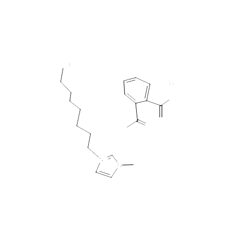 CCCCCCCC[n+]1ccn(C)c1.O=C(O)c1ccccc1C(=O)O.[Br-]